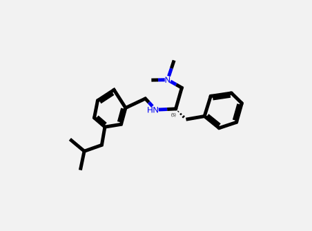 CC(C)Cc1cccc(CN[C@@H](Cc2ccccc2)CN(C)C)c1